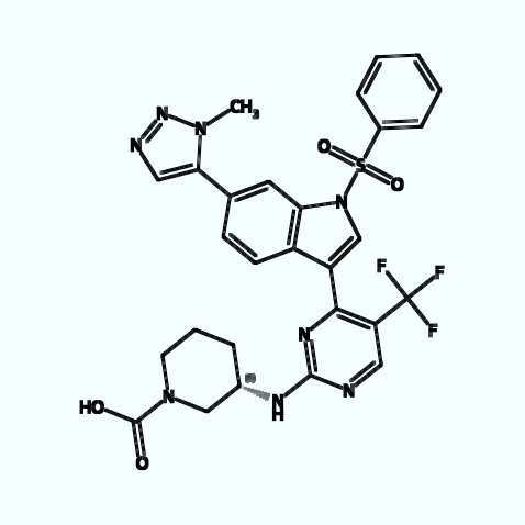 Cn1nncc1-c1ccc2c(-c3nc(N[C@H]4CCCN(C(=O)O)C4)ncc3C(F)(F)F)cn(S(=O)(=O)c3ccccc3)c2c1